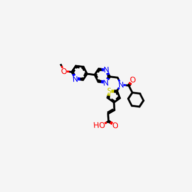 COc1ccc(-c2cnc(CN(C(=O)C3CCCCC3)c3cc(C=CC(=O)O)cs3)nc2)cn1